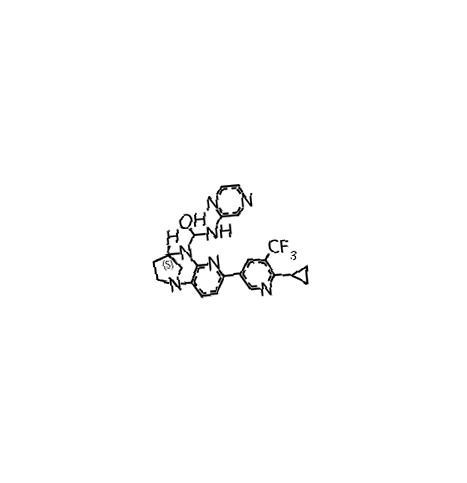 OC(Nc1cnccn1)N1c2nc(-c3cnc(C4CC4)c(C(F)(F)F)c3)ccc2N2CC[C@H]1C2